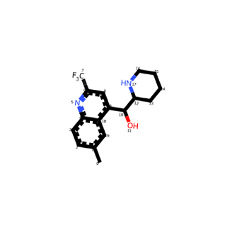 Cc1ccc2nc(C(F)(F)F)cc(C(O)C3CCCCN3)c2c1